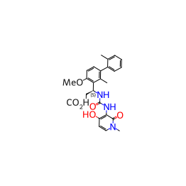 COc1ccc(-c2ccccc2C)c(C)c1[C@H](CC(=O)O)NC(=O)Nc1c(O)ccn(C)c1=O